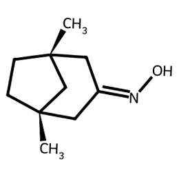 C[C@]12CC[C@](C)(C/C(=N\O)C1)C2